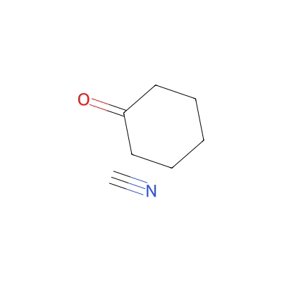 C#N.O=C1CCCCC1